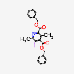 Cc1nc(C(=O)OCc2ccccc2)c(C)c(C(=O)OCc2ccccc2)c1I